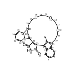 Cc1c2c3ccccc3n1CCOCCOCCOCCN1C=C(C3=C2C(=O)NC3=O)C2C=CC=CC21